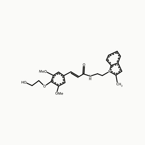 COc1cc(/C=C/C(=O)NCCn2c(C)cc3ccccc32)cc(OC)c1OCCO